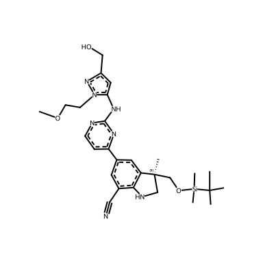 COCCn1nc(CO)cc1Nc1nccc(-c2cc(C#N)c3c(c2)[C@@](C)(CO[Si](C)(C)C(C)(C)C)CN3)n1